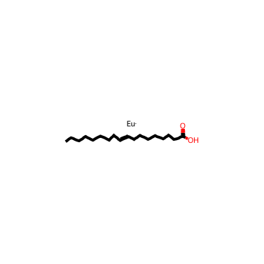 CCCCCCCCC=CCCCCCCCC(=O)O.[Eu]